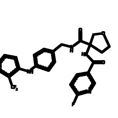 O=C(NC1(C(=O)NCc2ccc(Nc3ccccc3C(F)(F)F)cc2)CCOC1)c1ccc(F)nc1